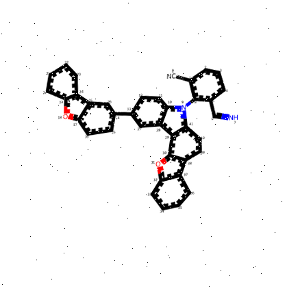 N#Cc1cccc(C=N)c1-n1c2ccc(-c3ccc4oc5ccccc5c4c3)cc2c2c3oc4ccccc4c3ccc21